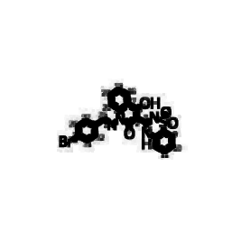 O=c1c(C2=NS(=O)(=O)c3ccccc3N2)c(O)c2ccccc2n1N=Cc1ccc(Br)cc1